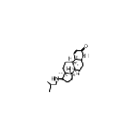 CC(C)CNC1CC[C@H]2[C@@H]3CCC4NC(=O)C=C[C@]4(C)[C@@H]3CC[C@]12C